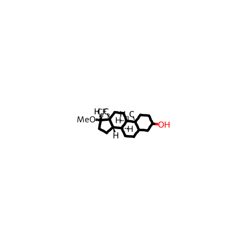 COC1(C(F)(F)F)CC[C@H]2[C@@H]3CCC4CC(O)CC[C@]4(C)[C@@H]3CC[C@@]21C